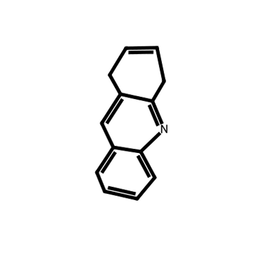 C1=CCc2nc3ccccc3cc2C1